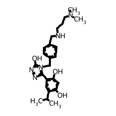 CC(C)c1cc(-c2nnc(O)n2Cc2ccc(CNCCCN(C)C)cc2)c(O)cc1O